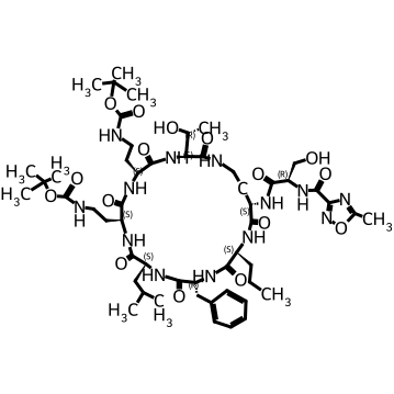 CCC[C@@H]1NC(=O)[C@@H](NC(=O)[C@@H](CO)NC(=O)c2noc(C)n2)CCNC(=O)[C@H]([C@@H](C)O)NC(=O)[C@H](CCNC(=O)OC(C)(C)C)NC(=O)[C@H](CCNC(=O)OC(C)(C)C)NC(=O)[C@H](CC(C)C)NC(=O)[C@@H](Cc2ccccc2)NC1=O